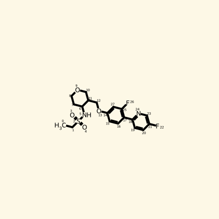 CCS(=O)(=O)NC1CCOCC1COc1ccc(-c2ccc(F)cn2)c(F)c1